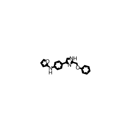 c1ccc(OCc2nc(-c3ccc(Nc4ccco4)cc3)c[nH]2)cc1